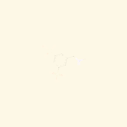 O=S(=O)(O)c1cc(CNI)cc(S(=O)(=O)O)c1